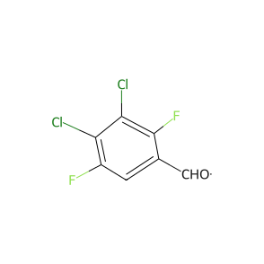 O=[C]c1cc(F)c(Cl)c(Cl)c1F